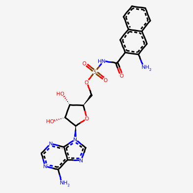 Nc1cc2ccccc2cc1C(=O)NS(=O)(=O)OC[C@H]1O[C@@H](n2cnc3c(N)ncnc32)[C@H](O)[C@@H]1O